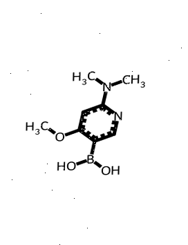 COc1cc(N(C)C)ncc1B(O)O